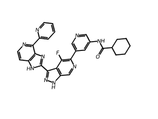 O=C(Nc1cncc(-c2ncc3[nH]nc(-c4nc5c(-c6ccccn6)nccc5[nH]4)c3c2F)c1)C1CCCCC1